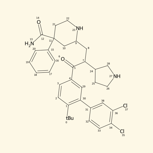 CC(C)(C)c1ccc(C(=O)C(CC2CC(C(N)=O)(c3ccccc3)CCN2)C2CCNC2)cc1-c1ccc(Cl)c(Cl)c1